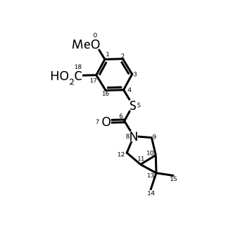 COc1ccc(SC(=O)N2CC3C(C2)C3(C)C)cc1C(=O)O